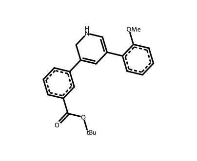 COc1ccccc1C1=CNCC(c2cccc(C(=O)OC(C)(C)C)c2)=C1